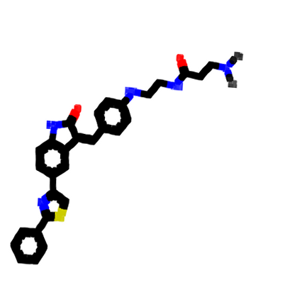 CCN(CC)CCC(=O)NCCNc1ccc(/C=C2\C(=O)Nc3ccc(-c4csc(-c5ccccc5)n4)cc32)cc1